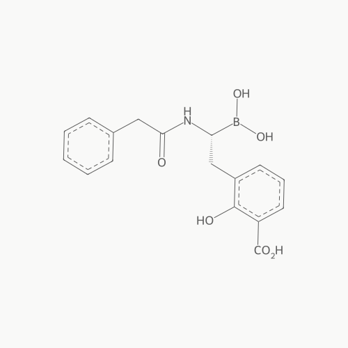 O=C(Cc1ccccc1)N[C@@H](Cc1cccc(C(=O)O)c1O)B(O)O